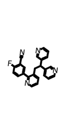 N#Cc1cc(-c2ncccc2CC(c2cccnc2)c2cccnc2)ccc1F